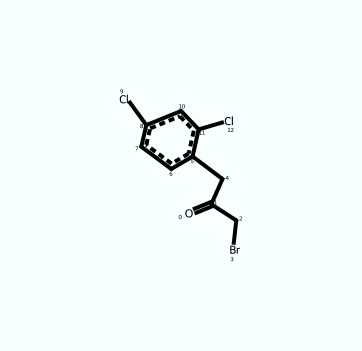 O=C(CBr)Cc1ccc(Cl)cc1Cl